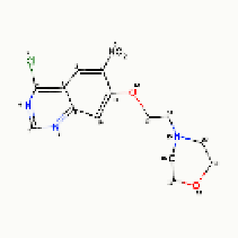 O=[N+]([O-])c1cc2c(Cl)ncnc2cc1OCCN1CCOCC1